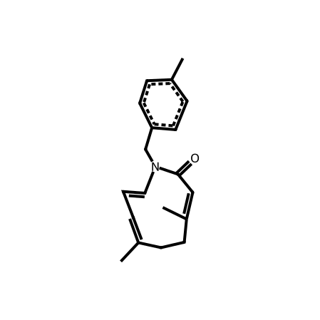 C/C1=C\C=C\N(Cc2ccc(C)cc2)C(=O)/C=C(\C)CC1